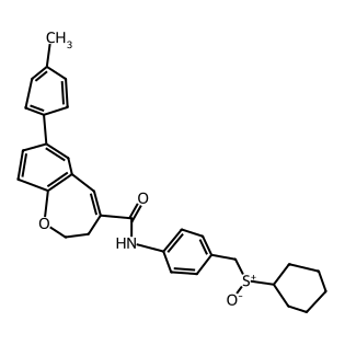 Cc1ccc(-c2ccc3c(c2)C=C(C(=O)Nc2ccc(C[S+]([O-])C4CCCCC4)cc2)CCO3)cc1